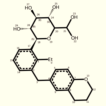 CCc1c(Cc2ccc3c(c2)CCCO3)cccc1[C@@H]1OC(C(O)O)[C@@H](O)[C@H](O)[C@H]1O